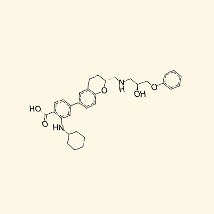 O=C(O)c1ccc(-c2ccc3c(c2)CC[C@H](CNC[C@H](O)COc2ccccc2)O3)cc1NC1CCCCC1